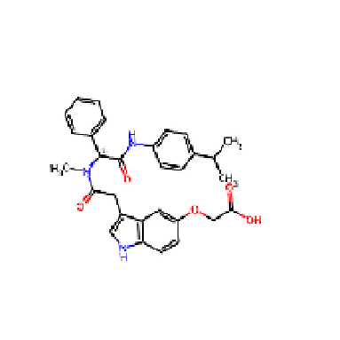 CC(C)c1ccc(NC(=O)[C@H](c2ccccc2)N(C)C(=O)Cc2c[nH]c3ccc(OCC(=O)O)cc23)cc1